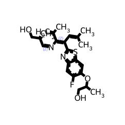 C=C(/C=N\C(C(=C)C)=C(\C=C(C)C)c1nc2cc(F)c(OC(C)CO)cc2s1)CO